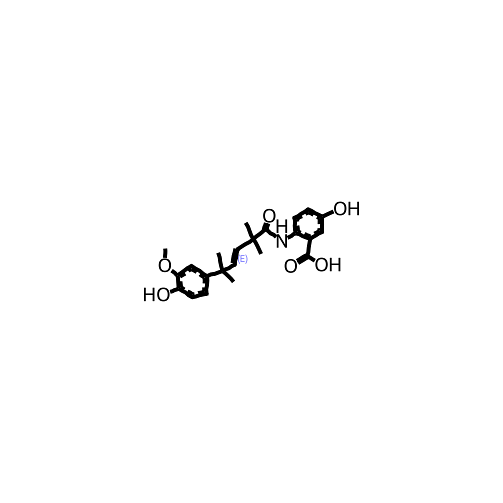 COc1cc(C(C)(C)/C=C/C(C)(C)C(=O)Nc2ccc(O)cc2C(=O)O)ccc1O